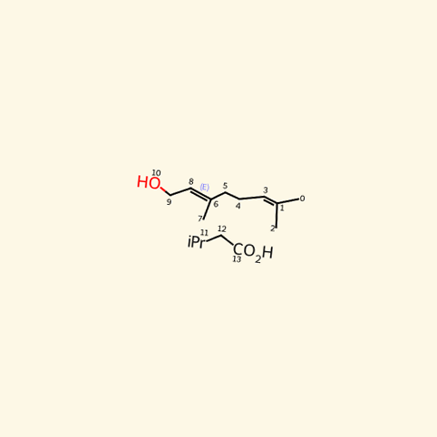 CC(C)=CCC/C(C)=C/CO.CC(C)CC(=O)O